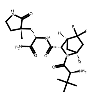 CC(C)(C)[C@H](N)C(=O)N1[C@H]2C[C@@H]([C@H]1C(=O)N[C@@H](C[C@]1(C)CCNC1=O)C(N)=O)C(F)(F)C2